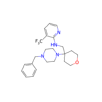 FC(F)(F)c1cccnc1NCC1(N2CCN(Cc3ccccc3)CC2)CCOCC1